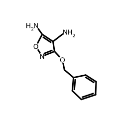 Nc1onc(OCc2ccccc2)c1N